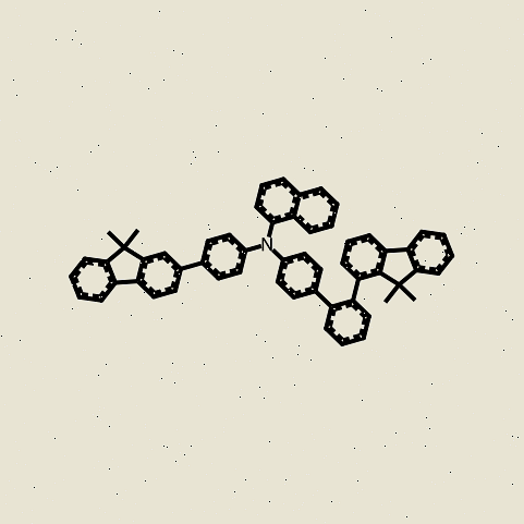 CC1(C)c2ccccc2-c2ccc(-c3ccc(N(c4ccc(-c5ccccc5-c5cccc6c5C(C)(C)c5ccccc5-6)cc4)c4cccc5ccccc45)cc3)cc21